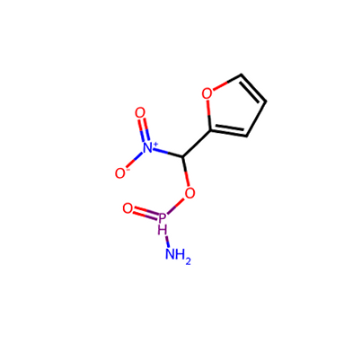 N[PH](=O)OC(c1ccco1)[N+](=O)[O-]